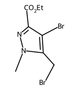 CCOC(=O)c1nn(C)c(CBr)c1Br